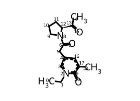 CCn1cc(CC(=O)N2CCC[C@H]2C(C)=O)cc(C)c1=O